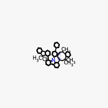 C=C1/C=C\C=C(\c2cccc3c4cccc(-c5cccc6c5C(C)(C)c5ccccc5-6)c4n(-c4ccc(-c5ccccc5)cc4)c23)CC(C)(C)c2ccccc21